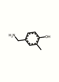 Cc1cc(CN)ccc1O